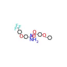 N/C(=N\OC(=O)c1ccc(OCc2ccccc2)cc1)c1ccc(Oc2ccc(C(F)(F)F)cc2)cc1